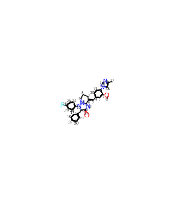 COc1cc(/C=C2\CCCN3C2=NC(=O)C(c2ccccc2)N3c2ccc(F)cc2)ccc1-n1cnc(C)c1